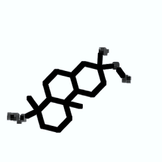 CCOC1(C(C)C)CCC2C(CCC3C(C)(C(=O)O)CCCC23C)C1